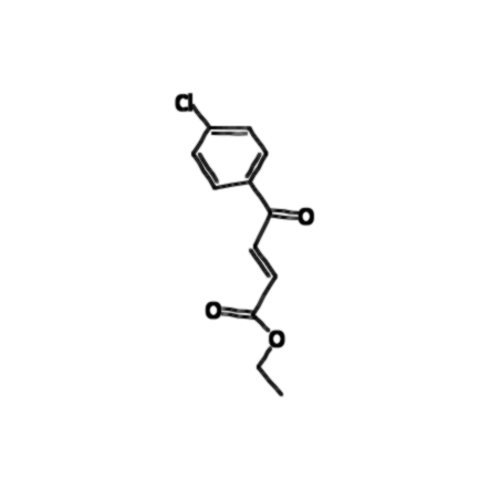 CCOC(=O)/C=C/C(=O)c1ccc(Cl)cc1